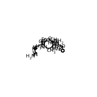 CC[C@H]1OC(=O)[C@H](C)C(=O)[C@H](C)[C@@H](O[C@@H]2O[C@H](COC(=O)c3ccccc3)CC(N)C2O)[C@](C)(OC)C[C@@H](C)CN[C@H](C)[C@H]2N(CCCCn3cc(-c4cnc(N)s4)nn3)C(=O)O[C@]12C